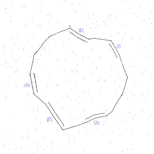 [C]1=C/C=C\CC\C=C/C=C/C=C\CC/1